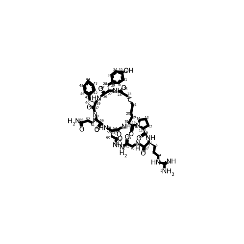 N=C(N)NCCC[C@H](NC(=O)[C@@H]1CCCN1C(=O)[C@@H]1CCCCCC(=O)N[C@@H](Cc2ccc(O)cc2)C(=O)N[C@@H](Cc2ccccc2)C(=O)N[C@@H](CCC(N)=O)C(=O)N[C@@H](CC(N)=O)C(=O)N1)C(=O)NCC(N)=O